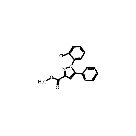 COC(=O)c1cc(-c2ccccc2)n(-c2ccccc2Cl)n1